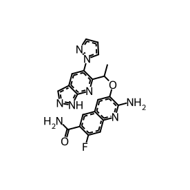 CC(Oc1cc2cc(C(N)=O)c(F)cc2nc1N)c1nc2[nH]ncc2cc1-n1cccn1